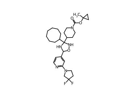 CC1(OC(=O)N2CCC(C3(C4CCCCCCC4)NOC(c4ccnc(N5CCC(F)(F)C5)c4)N3)CC2)CC1